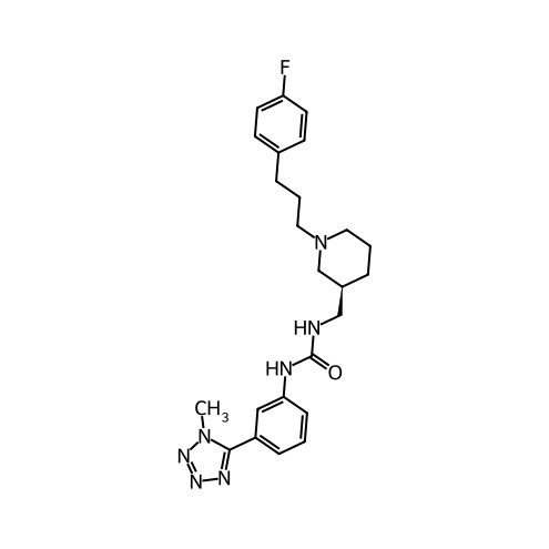 Cn1nnnc1-c1cccc(NC(=O)NC[C@@H]2CCCN(CCCc3ccc(F)cc3)C2)c1